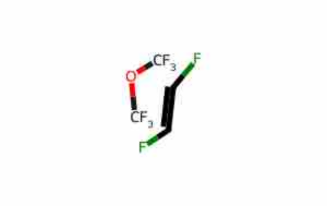 FC(F)(F)OC(F)(F)F.FC=CF